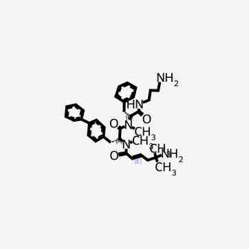 CN(C(=O)/C=C/CC(C)(C)N)[C@H](Cc1ccc(-c2ccccc2)cc1)C(=O)N(C)[C@H](Cc1ccccc1)C(=O)NCCCN